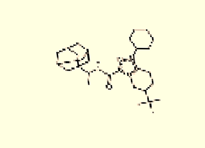 CC(NC(=O)c1nn(C2CCCCC2)c2c1CC(C(C)(C)C)CC2)C12CC3CC(CC(C3)C1)C2